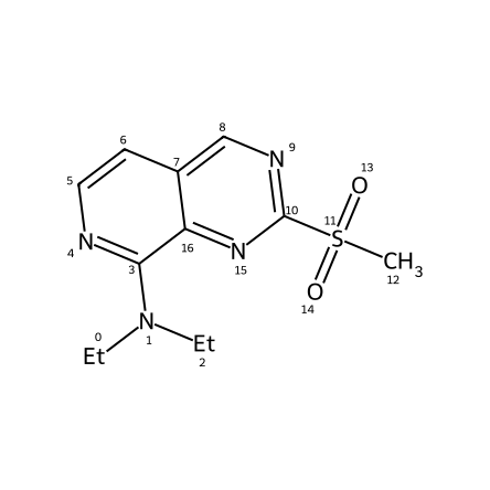 CCN(CC)c1nccc2cnc(S(C)(=O)=O)nc12